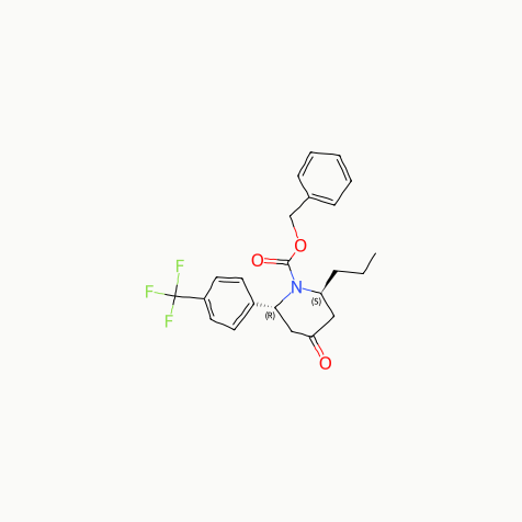 CCC[C@H]1CC(=O)C[C@H](c2ccc(C(F)(F)F)cc2)N1C(=O)OCc1ccccc1